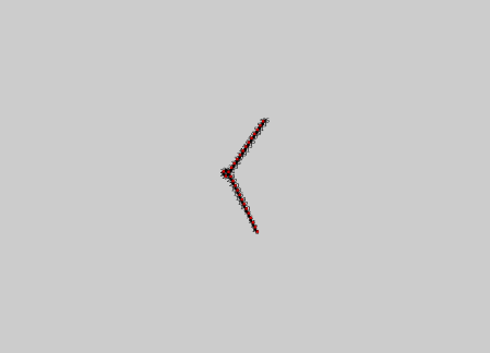 CCCCCCCCCCCCCCCCCCCCCCCCCc1[c]cccc1CCCCCCCCCCCCCCCCCCCCCCCCC